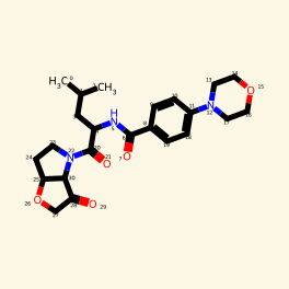 CC(C)CC(NC(=O)c1ccc(N2CCOCC2)cc1)C(=O)N1CCC2OCC(=O)C21